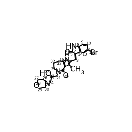 Cc1c(C=C2C(=O)Nc3ccc(Br)cc32)[nH]c2c1C(=O)N(C[C@@H](O)CN1CCOCC1)CCC2